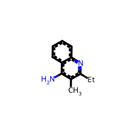 CCc1nc2ccccc2c(N)c1C